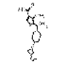 Cc1c(C(=O)O)csc1[C@H](C)[C@H]1CC[C@H](N2CC(O)C2)CC1